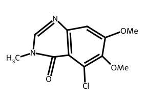 COc1cc2ncn(C)c(=O)c2c(Cl)c1OC